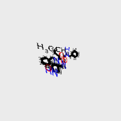 CC(C)CC(OC(=O)NCc1ccccc1)C(=O)N(Cc1ccccc1)C1(C#N)CNC(=O)C1